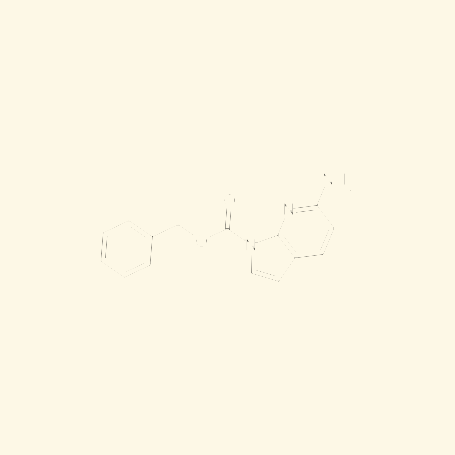 Nc1ccc2ccn(C(=O)OCc3ccccc3)c2n1